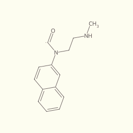 CNCCN([C]=O)c1ccc2ccccc2c1